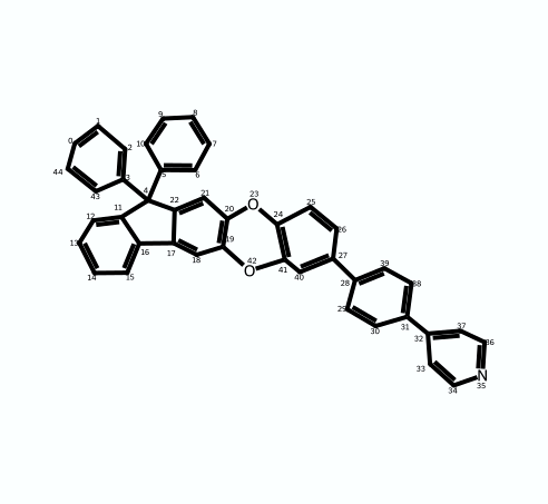 c1ccc(C2(c3ccccc3)c3ccccc3-c3cc4c(cc32)Oc2ccc(-c3ccc(-c5ccncc5)cc3)cc2O4)cc1